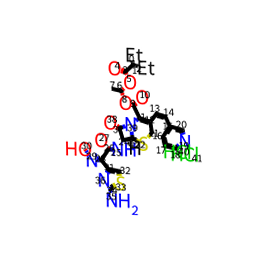 CCC(CC)C(=O)OC(C)OC(=O)C1=C(/C=C\c2cccnc2)CS[C@@H]2[C@H](NC(=O)/C(=N\O)c3csc(N)n3)C(=O)N12.Cl.Cl